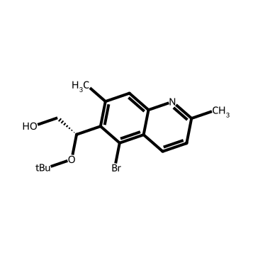 Cc1ccc2c(Br)c([C@@H](CO)OC(C)(C)C)c(C)cc2n1